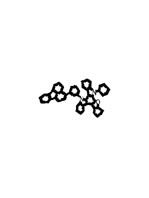 c1ccc(-n2c3ccccc3c3c2c2oc4ccccc4c2c2c4ccccc4n(-c4cccc(-c5ccc6c7c(cccc57)-c5ccccc5-6)c4)c23)cc1